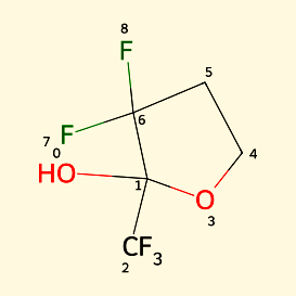 OC1(C(F)(F)F)OCCC1(F)F